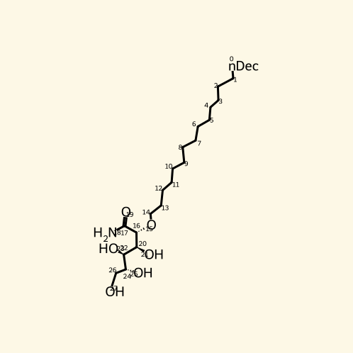 CCCCCCCCCCCCCCCCCCCCCCCCO[C@@H](C(N)=O)[C@@H](O)[C@H](O)[C@H](O)CO